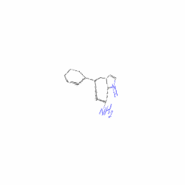 NC1CC(C2CCCCC2)CC2C=CNC12